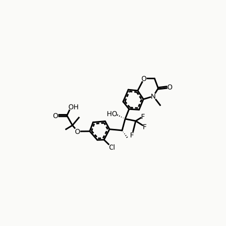 C[C@H](c1ccc(OC(C)(C)C(=O)O)cc1Cl)[C@@](O)(c1ccc2c(c1)N(C)C(=O)CO2)C(F)(F)F